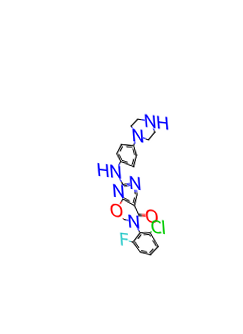 O=C1c2cnc(Nc3ccc(N4CCNCC4)cc3)nc2OCN1c1c(F)cccc1Cl